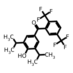 CC(C)c1cc(C(=O)c2cc(C(F)(F)F)ccc2C(F)(F)F)cc(C(C)C)c1O